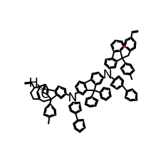 C=Cc1ccc(CC2(c3ccc(C)cc3)c3ccccc3-c3ccc(N(c4ccc(-c5ccccc5)cc4)c4ccc5c(c4)C(c4ccccc4)(c4ccccc4)c4cc(N(c6ccc(-c7ccccc7)cc6)c6ccc7c(c6)C6(c8ccc(C)cc8)CC8=C[C@@H](C9=CCCC6=C97)C(C=C)CC8)ccc4-5)cc32)cc1